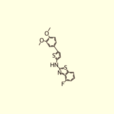 COc1ccc(-c2ccc(Nc3nc4c(F)cccc4s3)s2)cc1OC